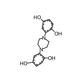 Oc1ccc(O)c(N2CCN(c3cc(O)ccc3O)CC2)c1